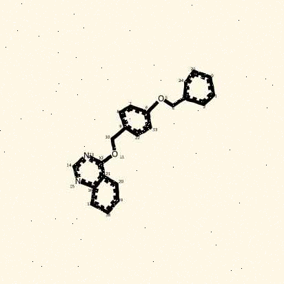 c1ccc(COc2ccc(COc3ncnc4ccccc34)cc2)cc1